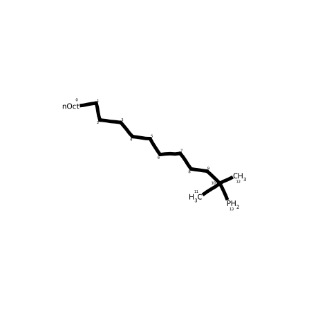 CCCCCCCCCCCCCCCCCC(C)(C)P